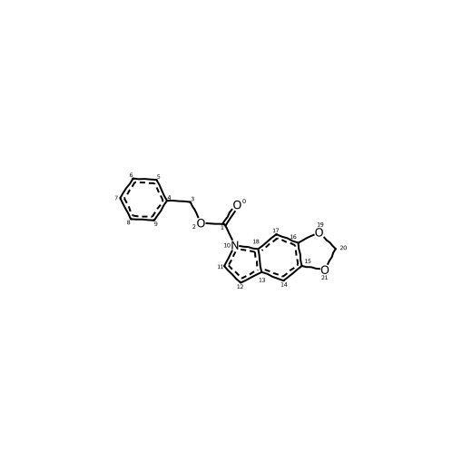 O=C(OCc1ccccc1)n1ccc2cc3c(cc21)OCO3